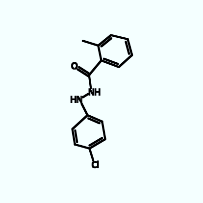 Cc1ccccc1C(=O)NNc1ccc(Cl)cc1